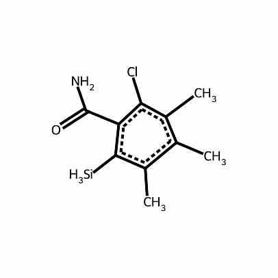 Cc1c(C)c([SiH3])c(C(N)=O)c(Cl)c1C